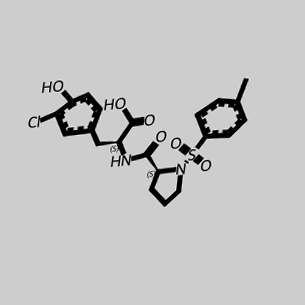 Cc1ccc(S(=O)(=O)N2CCC[C@H]2C(=O)N[C@@H](Cc2ccc(O)c(Cl)c2)C(=O)O)cc1